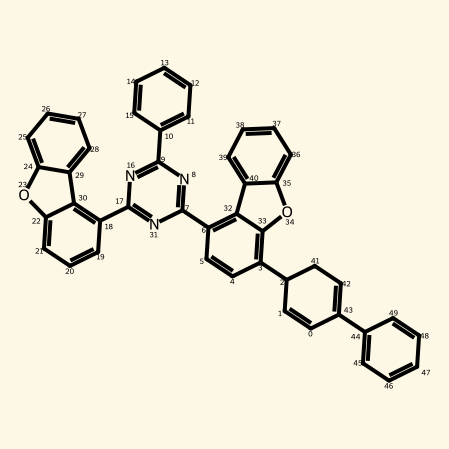 C1=CC(c2ccc(-c3nc(-c4ccccc4)nc(-c4cccc5oc6ccccc6c45)n3)c3c2oc2ccccc23)CC=C1c1ccccc1